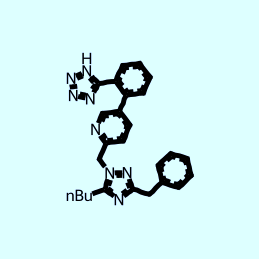 CCCCc1nc(Cc2ccccc2)nn1Cc1ccc(-c2ccccc2-c2nnn[nH]2)cn1